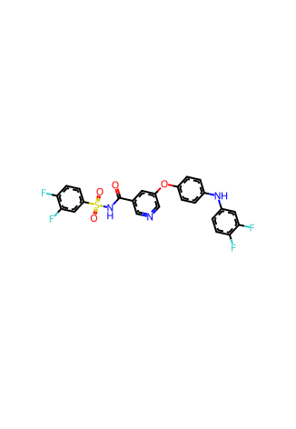 O=C(NS(=O)(=O)c1ccc(F)c(F)c1)c1cncc(Oc2ccc(Nc3ccc(F)c(F)c3)cc2)c1